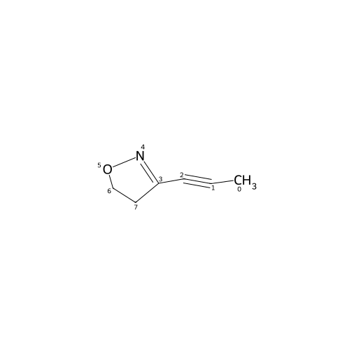 CC#CC1=NOCC1